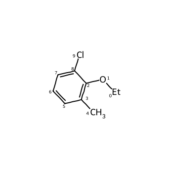 CCOc1c(C)cccc1Cl